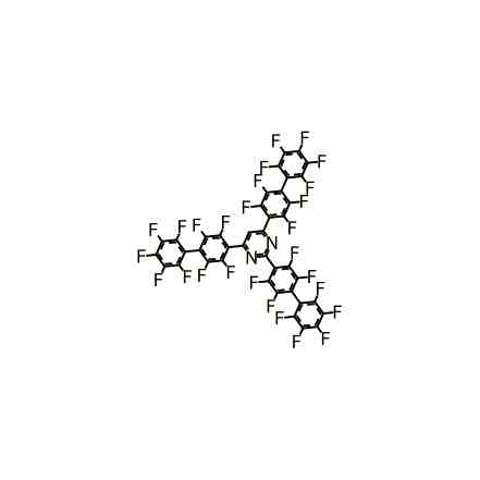 Fc1c(F)c(F)c(-c2c(F)c(F)c(-c3cc(-c4c(F)c(F)c(-c5c(F)c(F)c(F)c(F)c5F)c(F)c4F)nc(-c4c(F)c(F)c(-c5c(F)c(F)c(F)c(F)c5F)c(F)c4F)n3)c(F)c2F)c(F)c1F